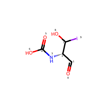 O=C[C@H](NC(=O)O)C(O)I